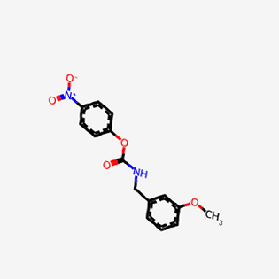 COc1cccc(CNC(=O)Oc2ccc([N+](=O)[O-])cc2)c1